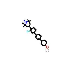 CCOC1CCC(c2ccc(-c3ccc(C4CC(C)(C)N(C)C(C)(C)C4)c(F)c3)cc2)CC1